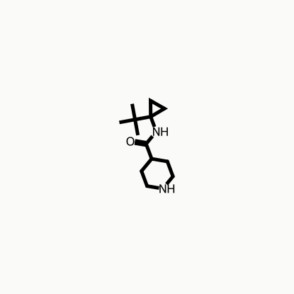 CC(C)(C)C1(NC(=O)C2CCNCC2)CC1